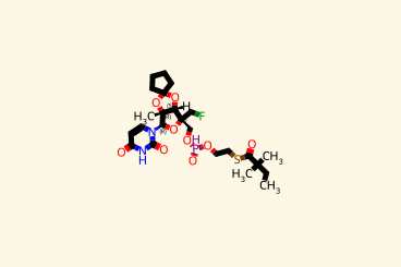 CCC(C)(C)C(=O)SCCO[PH](=O)OC[C@@]1(CF)O[C@@H](n2ccc(=O)[nH]c2=O)[C@]2(C)OC3(CCCC3)O[C@H]12